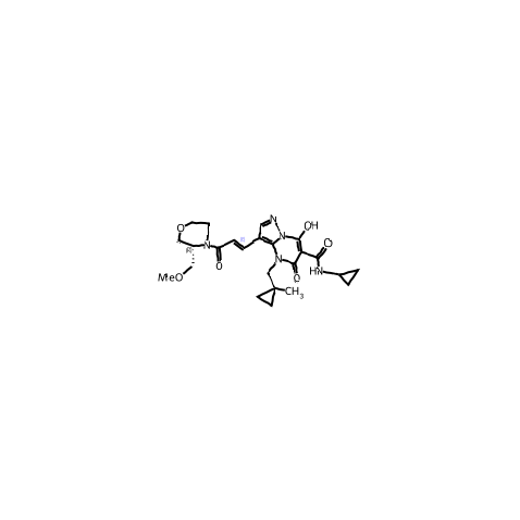 COC[C@@H]1COCCN1C(=O)/C=C/c1cnn2c(O)c(C(=O)NC3CC3)c(=O)n(CC3(C)CC3)c12